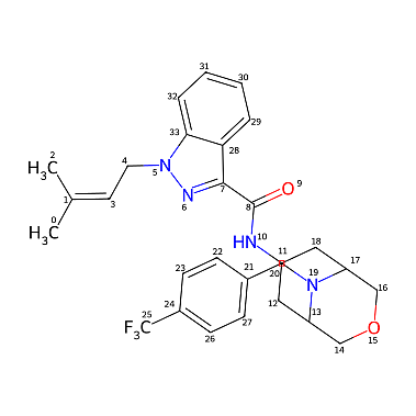 CC(C)=CCn1nc(C(=O)NC2CC3COCC(C2)N3Cc2ccc(C(F)(F)F)cc2)c2ccccc21